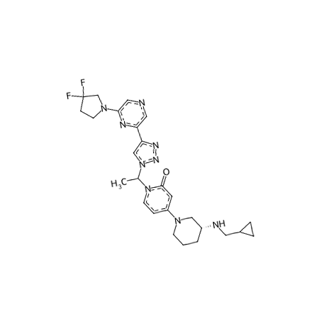 CC(n1cc(-c2cncc(N3CCC(F)(F)C3)n2)nn1)n1ccc(N2CCC[C@@H](NCC3CC3)C2)cc1=O